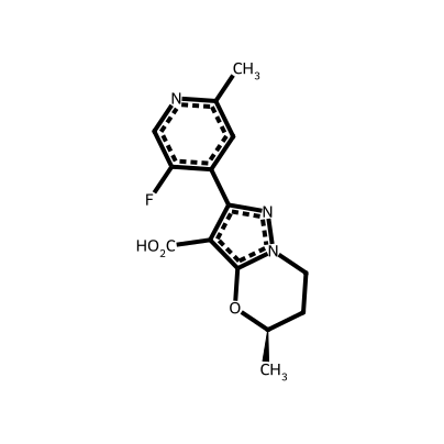 Cc1cc(-c2nn3c(c2C(=O)O)O[C@H](C)CC3)c(F)cn1